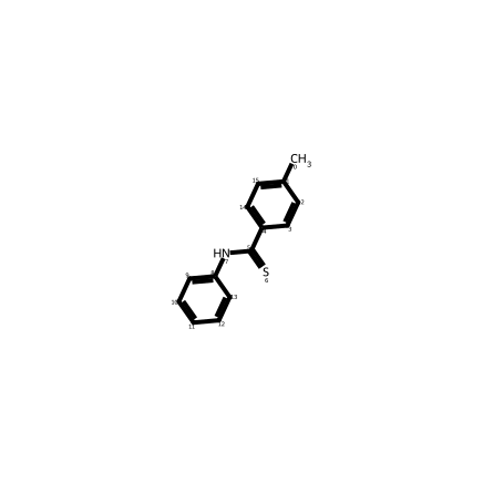 Cc1ccc(C(=S)Nc2ccccc2)cc1